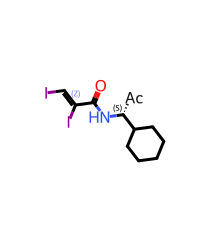 CC(=O)[C@@H](NC(=O)/C(I)=C/I)C1CCCCC1